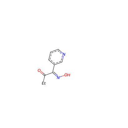 CCC(=O)/C(=N/O)c1cccnc1